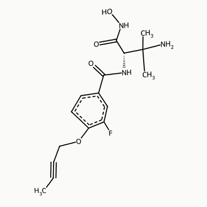 CC#CCOc1ccc(C(=O)N[C@H](C(=O)NO)C(C)(C)N)cc1F